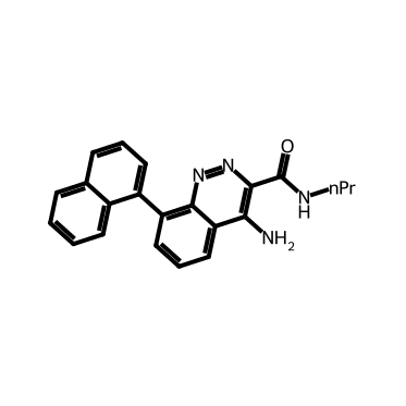 CCCNC(=O)c1nnc2c(-c3cccc4ccccc34)cccc2c1N